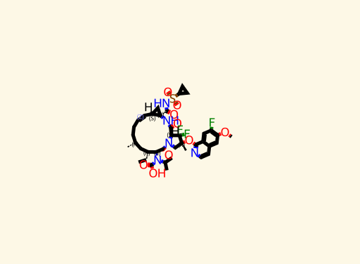 CC[C@@H]1C[C@H](C)CC/C=C\[C@@H]2C[C@@]2(C(=O)NS(=O)(=O)C2CC2)NC(=O)[C@@H]2N(C[C@@](C)(Oc3nccc4cc(OC)c(F)cc34)C2(F)F)C(=O)[C@H]1N(C(=O)O)C(C)C